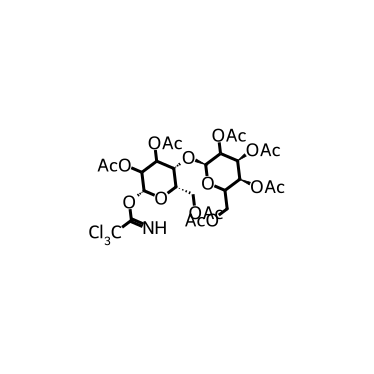 CC(=O)OCC1O[C@@H](O[C@H]2C(OC(C)=O)C(OC(C)=O)[C@@H](OC(=N)C(Cl)(Cl)Cl)O[C@H]2COC(C)=O)C(OC(C)=O)[C@@H](OC(C)=O)[C@H]1OC(C)=O